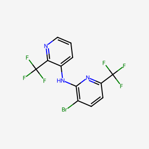 FC(F)(F)c1ccc(Br)c(Nc2cccnc2C(F)(F)F)n1